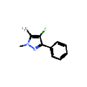 Cn1nc(-c2ccccc2)c(Cl)c1C(F)(F)F